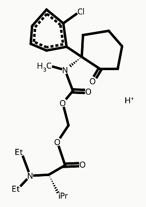 CCN(CC)[C@H](C(=O)OCOC(=O)N(C)[C@]1(c2ccccc2Cl)CCCCC1=O)C(C)C.[H+]